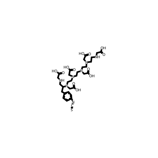 O=C(O)CNCCN(CCN(CCN(CCN(CC(=O)O)C(CNCC(=O)O)Cc1ccc(N=C=S)cc1)CC(=O)O)CC(=O)O)CC(=O)O